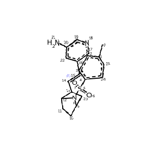 Cc1ccc(S(=O)(=O)N2C3CCC2C(/C=C/c2cncc(N)c2)C3)cc1